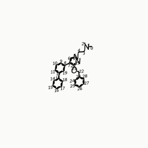 CN(C)CCn1cc(-c2cccc(-c3ccccc3)c2)c(OCc2ccccc2)n1